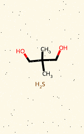 CC(C)(CO)CO.S